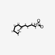 O=[SH](=O)CCCCC1CCCCC1